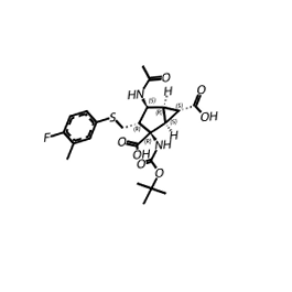 CC(=O)N[C@H]1[C@H]2[C@H](C(=O)O)[C@H]2[C@](NC(=O)OC(C)(C)C)(C(=O)O)[C@@H]1CSc1ccc(F)c(C)c1